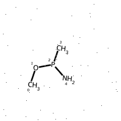 COP(C)N